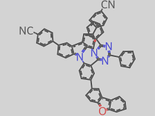 N#Cc1ccc(-c2ccc3c(c2)c2cc(-c4ccc(C#N)cc4)ccc2n3-c2ccc(-c3ccc4oc5ccccc5c4c3)cc2-c2nc(-c3ccccc3)nc(-c3ccccc3)n2)cc1